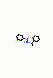 C=C(NC(=O)c1cccc(F)c1)c1ccccc1